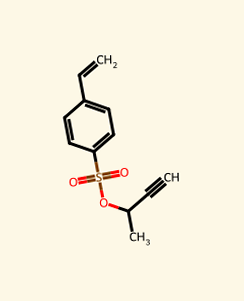 C#CC(C)OS(=O)(=O)c1ccc(C=C)cc1